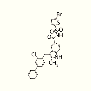 Cc1[nH]c2ccc(C(=O)NS(=O)(=O)c3ccc(Br)s3)cc2c1Cc1ccc(-c2ccccc2)cc1Cl